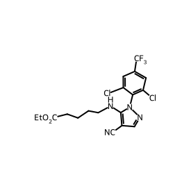 CCOC(=O)CCCCNc1c(C#N)cnn1-c1c(Cl)cc(C(F)(F)F)cc1Cl